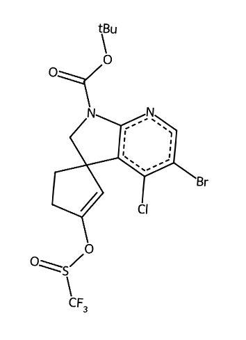 CC(C)(C)OC(=O)N1CC2(C=C(OS(=O)C(F)(F)F)CC2)c2c1ncc(Br)c2Cl